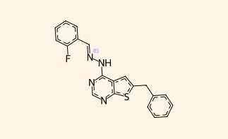 Fc1ccccc1/C=N/Nc1ncnc2sc(Cc3ccccc3)cc12